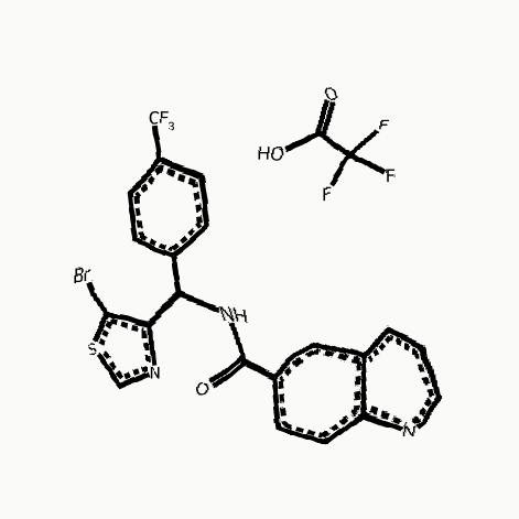 O=C(NC(c1ccc(C(F)(F)F)cc1)c1ncsc1Br)c1ccc2ncccc2c1.O=C(O)C(F)(F)F